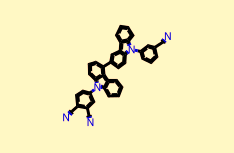 N#Cc1cccc(-n2c3ccccc3c3cc(-c4cccc5c4c4ccccc4n5-c4ccc(C#N)c(C#N)c4)ccc32)c1